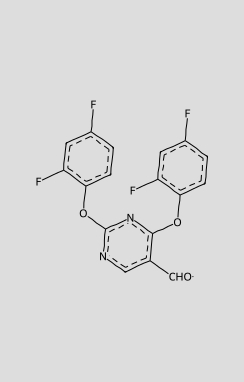 O=[C]c1cnc(Oc2ccc(F)cc2F)nc1Oc1ccc(F)cc1F